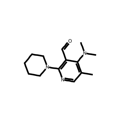 Cc1cnc(N2CCCCC2)c(C=O)c1N(C)C